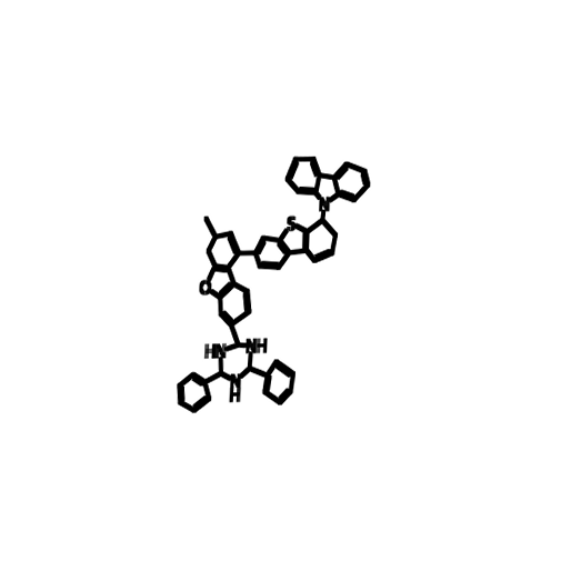 CC1C=C(c2ccc3c4c(sc3c2)C(n2c3ccccc3c3ccccc32)CC=C4)c2c(oc3cc(C4NC(c5ccccc5)NC(c5ccccc5)N4)ccc23)C1